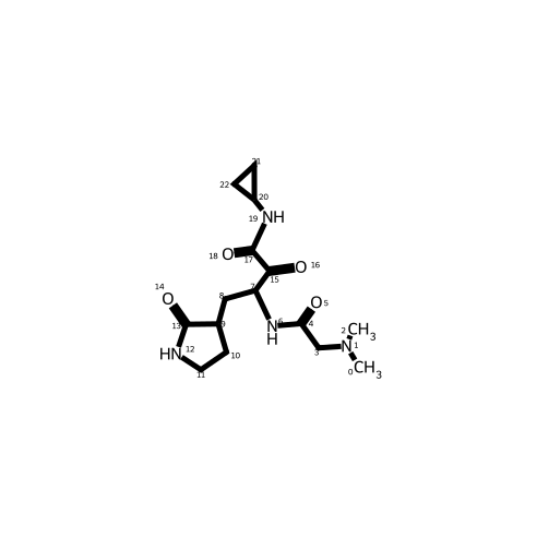 CN(C)CC(=O)NC(CC1CCNC1=O)C(=O)C(=O)NC1CC1